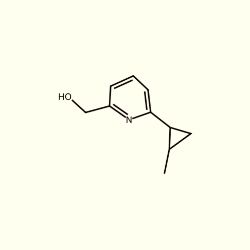 CC1CC1c1cccc(CO)n1